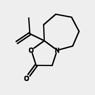 C=C(C)C12CCCCCN1CC(=O)O2